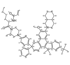 C=CC(=O)NC(CCCC)C(=O)N1CCN(c2ccc(C3(c4ccccc4)C=Cc4c5c(c6cc(N7CCC8CCCCC8C7)c(OC)cc6c4O3)-c3ccc(C(C)(C)C)cc3C5(C)C)cc2)CC1C